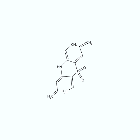 C=C/C=C1/NC(=C/C)/C(=C\C=C)S(=O)(=O)/C1=C/C